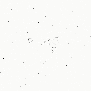 CCC(CCC1(C)N=C(C2=CCC(OCc3ccccc3)C=C2)C(=O)N1[C@@H](c1ccc(C(=O)O)cc1)C1CC1)C(C)(C)C